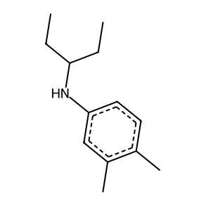 CCC(CC)Nc1ccc(C)c(C)c1